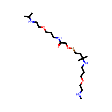 CNCCOCCCNC(C)(C)CCSOCC(=O)NCCCOCCNC(C)C